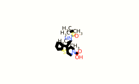 CC(C)(CN[S+]([O-])C(C)(C)C)C1c2ccccc2SC12CCN(C(=O)O)CC2